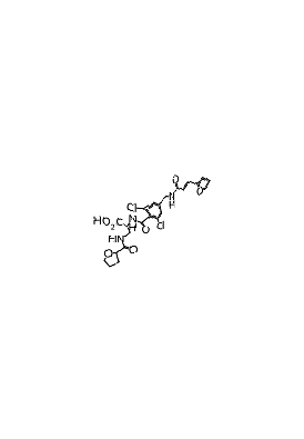 O=C(/C=C/c1ccco1)NCc1cc(Cl)c(C(=O)N[C@@H](CNC(=O)C2CCCO2)C(=O)O)c(Cl)c1